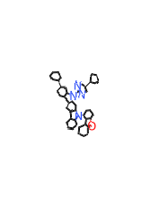 c1ccc(-c2cnc(-n3c4cc(-c5ccccc5)ccc4c4cc5c6ccccc6n(-c6cccc7oc8ccccc8c67)c5cc43)nc2)cc1